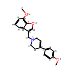 COc1ccc(C2=CCN(Cc3coc4c(OC)cccc34)CC2)cc1